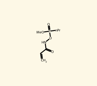 C=CC(=O)NOP(=O)(CCC)OC